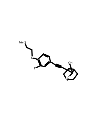 COCCOc1ccc(C#CC2(O)CN3CCC2CC3)cc1F